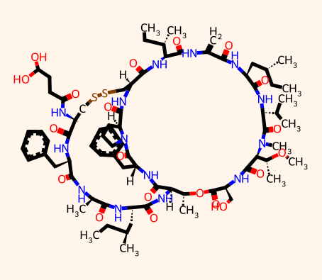 C=C1NC(=O)[C@H]([C@@H](C)CC)NC(=O)[C@@H]2CSSC[C@H](NC(=O)CCC(O)O)C(=O)N[C@H](Cc3ccccc3)C(=O)N[C@H](C)C(=O)N[C@@H](C[C@@H](C)CC)C(=O)N[C@@H](C(=O)N[C@H](Cc3ccccc3)C(=O)N3CCC[C@H]3C(=O)N2)[C@@H](C)OC(=O)[C@H](CO)NC(=O)[C@H]([C@@H](C)OC)N(C)C(=O)[C@@H](C(C)C)NC(=O)[C@H](C[C@H](C)CC)NC1=O